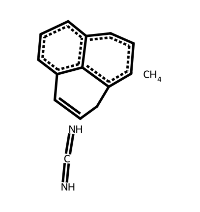 C.C1=Cc2cccc3cccc(c23)C1.N=C=N